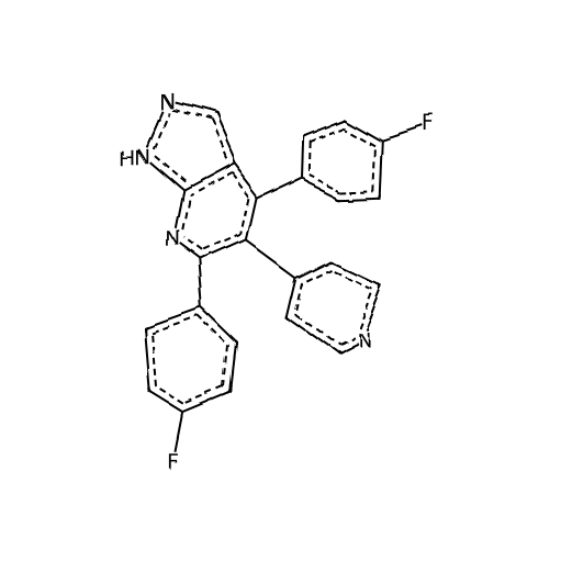 Fc1ccc(-c2nc3[nH]ncc3c(-c3ccc(F)cc3)c2-c2ccncc2)cc1